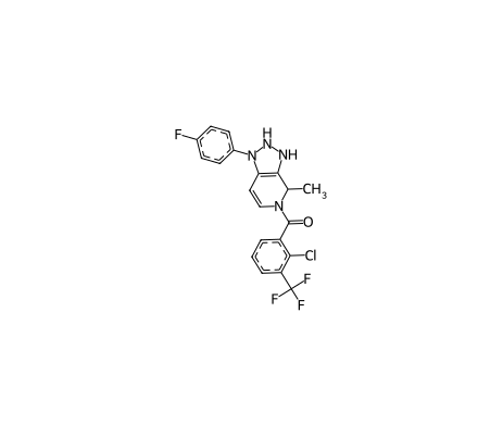 CC1C2=C(C=CN1C(=O)c1cccc(C(F)(F)F)c1Cl)N(c1ccc(F)cc1)NN2